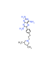 CC1CC(C)CN(CCCc2ccc(-c3nc4c(N)nc(N)nc4nc3N)cc2)C1